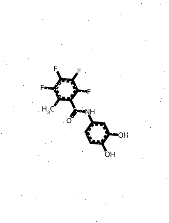 Cc1c(F)c(F)c(F)c(F)c1C(=O)Nc1ccc(O)c(O)c1